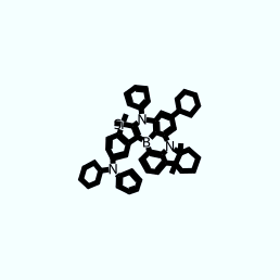 CC12CCCCC1(C)N1c3cc(C4CCCCC4)cc4c3B(C3=C(N4c4ccccc4)[Si](C)(C)c4ccc(N(c5ccccc5)C5CCCCC5)cc43)c3cccc2c31